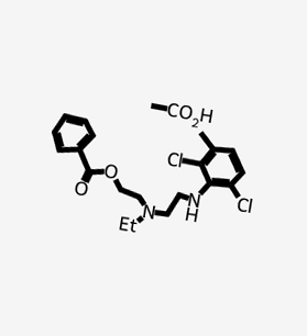 CC(=O)O.CCN(CCNc1c(Cl)ccc(C)c1Cl)CCOC(=O)c1ccccc1